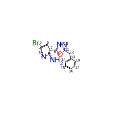 Nc1ncc(Br)cc1-c1nnc(Cc2ccccc2)o1